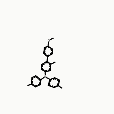 COc1ccc(-c2ccc(N(c3ccc(C)cc3)c3ccc(C)cc3)cc2C)cc1